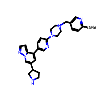 COc1ccc(CN2CCN(c3ccc(-c4cc(C5CCNC5)cn5nccc45)cn3)CC2)cn1